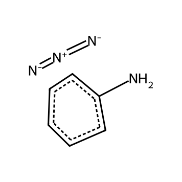 Nc1ccccc1.[N-]=[N+]=[N-]